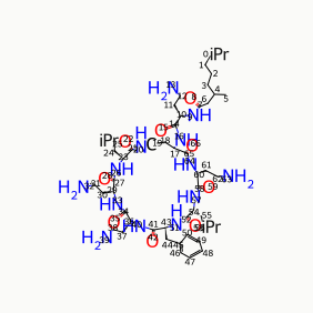 CC(C)CCCC(C)CC(=O)N[C@H](CCN)C(=O)N[C@H]1CCNC(=O)[C@H](CC(C)C)NC(=O)[C@H](CCN)NC(=O)[C@H](CCN)NC(=O)[C@H](Cc2ccccc2)NC(=O)[C@@H](CC(C)C)NC(=O)[C@H](CCN)NC1=O